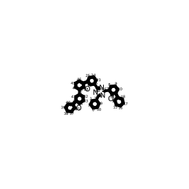 c1ccc(-c2nc(-c3cccc4c3oc3ccccc34)nc(-c3cccc4c3oc3c(-c5ccc6oc7ccccc7c6c5)cccc34)n2)cc1